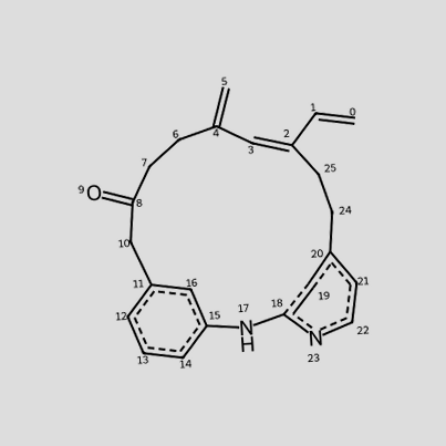 C=C/C1=C\C(=C)CCC(=O)Cc2cccc(c2)Nc2cc(ccn2)CC1